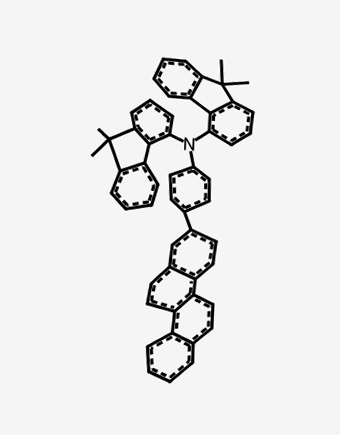 CC1(C)c2ccccc2-c2c(N(c3ccc(-c4ccc5c(ccc6c7ccccc7ccc56)c4)cc3)c3cccc4c3-c3ccccc3C4(C)C)cccc21